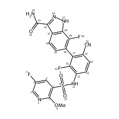 COc1ncc(F)cc1S(=O)(=O)Nc1ccc(C#N)c(-c2ccc3c(C(N)=O)n[nH]c3c2F)c1F